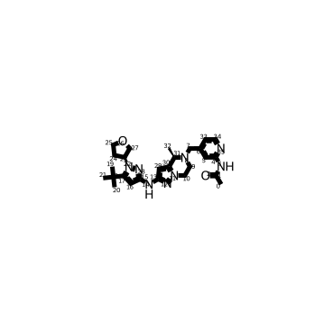 CC(=O)Nc1cc(CN2CCn3nc(Nc4cc(C(C)(C)C)n([C@H]5CCOC5)n4)cc3[C@H]2C)ccn1